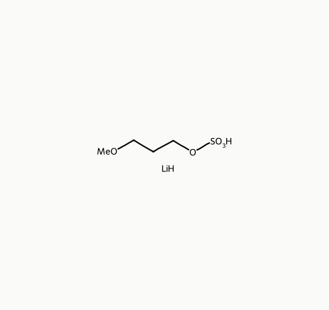 COCCCOS(=O)(=O)O.[LiH]